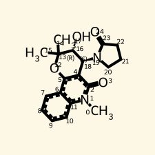 Cn1c(=O)c2c(c3ccccc31)OC(C)(C)[C@H](O)[C@H]2N1CCCC1=O